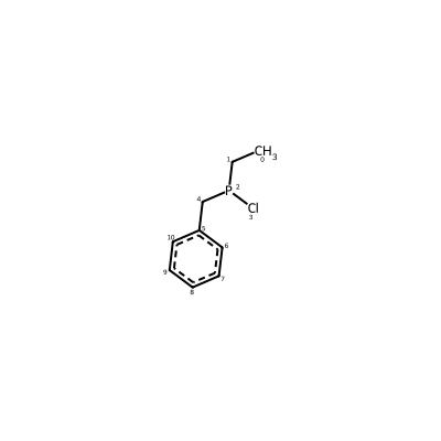 CCP(Cl)Cc1ccccc1